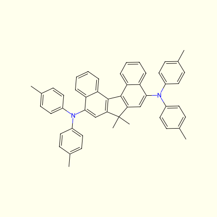 Cc1ccc(N(c2ccc(C)cc2)c2cc3c(c4ccccc24)-c2c(cc(N(c4ccc(C)cc4)c4ccc(C)cc4)c4ccccc24)C3(C)C)cc1